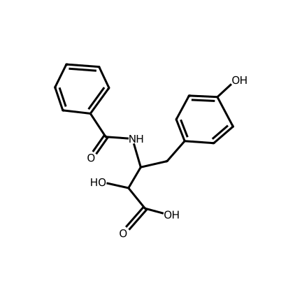 O=C(NC(Cc1ccc(O)cc1)C(O)C(=O)O)c1ccccc1